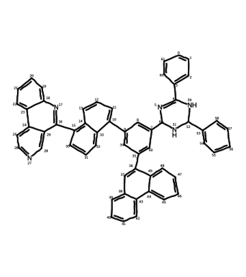 c1ccc(C2=NC(c3cc(-c4cccc5c(-c6nc7ccccc7c7ccncc67)cccc45)cc(-c4cc5ccccc5c5ccccc45)c3)NC(c3ccccc3)N2)cc1